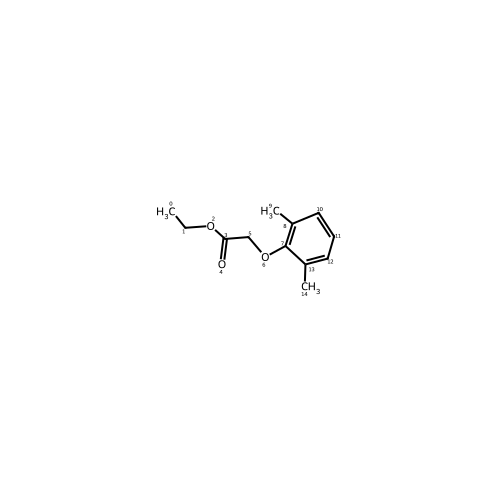 CCOC(=O)COc1c(C)cccc1C